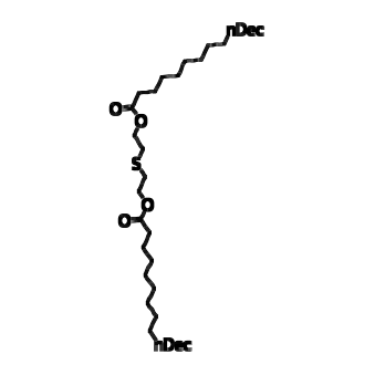 CCCCCCCCCCCCCCCCCCC(=O)OCCSCCOC(=O)CCCCCCCCCCCCCCCCCC